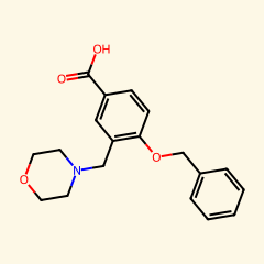 O=C(O)c1ccc(OCc2ccccc2)c(CN2CCOCC2)c1